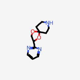 c1cnc(C2COC3(CCNCC3)O2)nc1